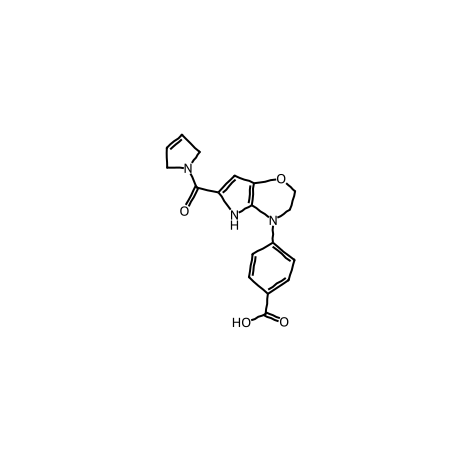 O=C(O)c1ccc(N2CCOc3cc(C(=O)N4CC=CC4)[nH]c32)cc1